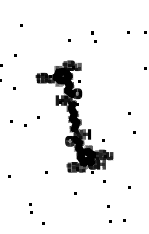 CC(C)(C)c1cc(CCC(=O)NCCCCCCNC(=O)CCc2cc(C(C)(C)C)c(O)c(C(C)(C)C)c2)cc(C(C)(C)C)c1